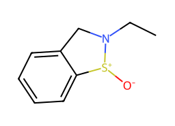 CCN1Cc2ccccc2[S+]1[O-]